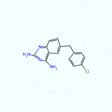 Nc1nc(N)c2cc(Cc3ccc(Cl)cc3)ccc2n1